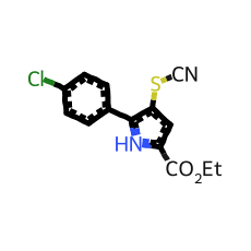 CCOC(=O)c1cc(SC#N)c(-c2ccc(Cl)cc2)[nH]1